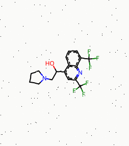 OC(CN1CCCC1)c1cc(C(F)(F)F)nc2c(C(F)(F)F)cccc12